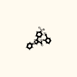 N#Cc1ccccc1NC(=O)c1cn(-c2ccccc2)nc1-c1ccc([N+](=O)[O-])cc1